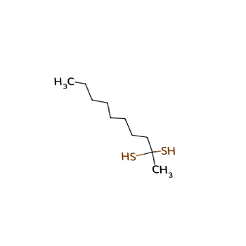 CCCCCCCCC(C)(S)S